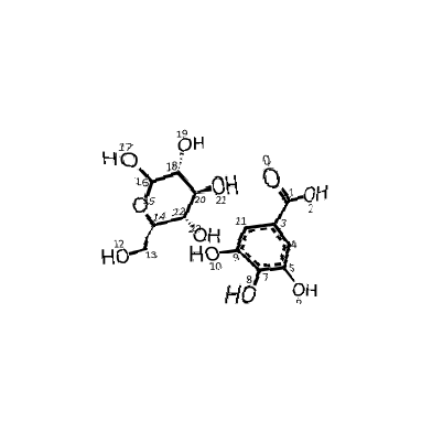 O=C(O)c1cc(O)c(O)c(O)c1.OC[C@H]1OC(O)[C@H](O)[C@@H](O)[C@@H]1O